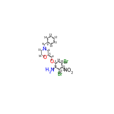 Nc1c(OC=C2CN(Cc3ccccc3)CCO2)cc(Br)c([N+](=O)[O-])c1Br